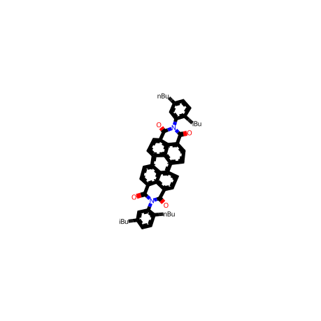 CCCCc1ccc(C(C)CC)c(N2C(=O)c3ccc4c5ccc6c7c(ccc(c8ccc(c3c48)C2=O)c75)C(=O)N(c2cc(C(C)CC)ccc2CCCC)C6=O)c1